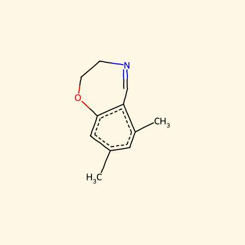 Cc1cc(C)c2c(c1)OCCN=C2